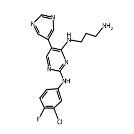 NCCCNc1nc(Nc2ccc(F)c(Cl)c2)ncc1-c1cncnc1